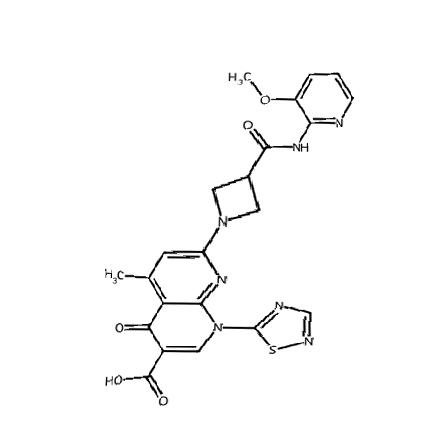 COc1cccnc1NC(=O)C1CN(c2cc(C)c3c(=O)c(C(=O)O)cn(-c4ncns4)c3n2)C1